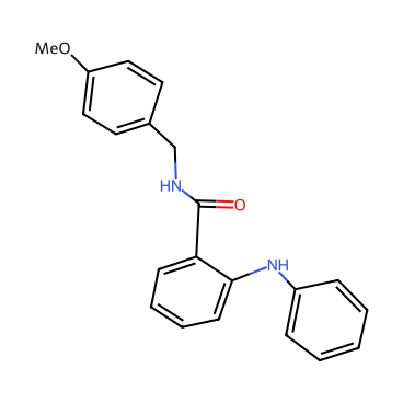 COc1ccc(CNC(=O)c2ccccc2Nc2ccccc2)cc1